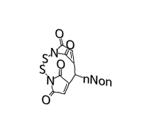 CCCCCCCCCC1C2=CC(=O)N(SSN3C(=O)C=C1C3=O)C2=O